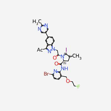 CC(=O)c1nn(CC(=O)N2[C@H](I)[C@@H](C)C[C@H]2C(=O)Nc2nc(Br)ccc2COCCF)c2ccc(-c3cnc(C)nc3)cc12